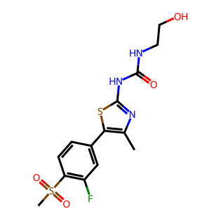 Cc1nc(NC(=O)NCCO)sc1-c1ccc(S(C)(=O)=O)c(F)c1